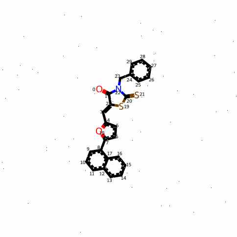 O=C1C(=Cc2ccc(-c3cccc4ccccc34)o2)SC(=S)N1Cc1ccccc1